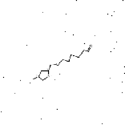 O=CCCCCCOC[C@@H]1C[C@H](F)CN1